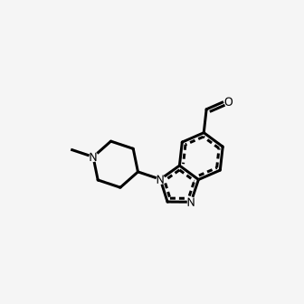 CN1CCC(n2cnc3ccc(C=O)cc32)CC1